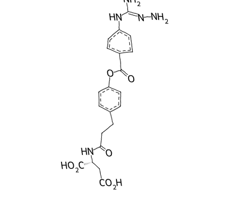 NN=C(N)Nc1ccc(C(=O)Oc2ccc(CCC(=O)N[C@H](CC(=O)O)C(=O)O)cc2)cc1